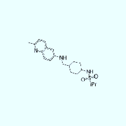 Cc1ccc2cc(NCC3CCC(NS(=O)(=O)C(C)C)CC3)ccc2n1